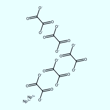 O=C([O-])C(=O)[O-].O=C([O-])C(=O)[O-].O=C([O-])C(=O)[O-].O=C([O-])C(=O)[O-].O=C([O-])C(=O)[O-].[Np+5].[Np+5]